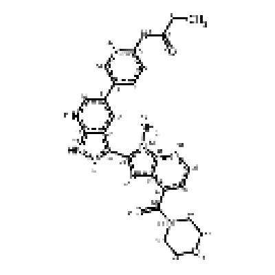 CCC(=O)Nc1ccc(-c2cnc3[nH]nc(-c4nc5c(C(=O)N6CCOCC6)ccnc5n4N)c3c2)cn1